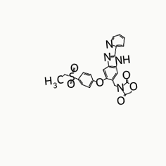 CCS(=O)(=O)c1ccc(Oc2cc3nc(-c4ccccn4)[nH]c3cc2CN2C(=O)COC2=O)cc1